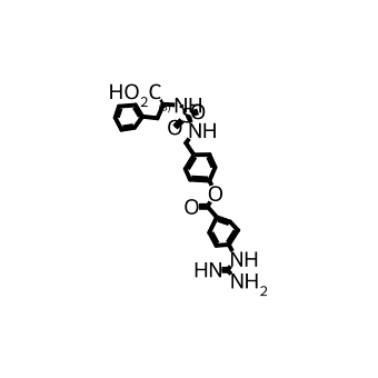 N=C(N)Nc1ccc(C(=O)Oc2ccc(CNS(=O)(=O)N[C@@H](Cc3ccccc3)C(=O)O)cc2)cc1